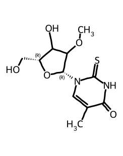 COC1C(O)[C@@H](CO)O[C@H]1n1cc(C)c(=O)[nH]c1=S